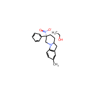 CCO.Cc1ccc2c(c1)CC1CC[C@@](c3ccccc3)([N+](=O)[O-])CN21